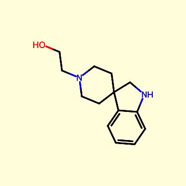 OCCN1CCC2(CC1)CNc1ccccc12